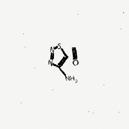 C=O.Nc1csnn1